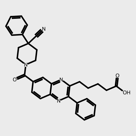 N#CC1(c2ccccc2)CCN(C(=O)c2ccc3nc(-c4ccccc4)c(CCCCC(=O)O)nc3c2)CC1